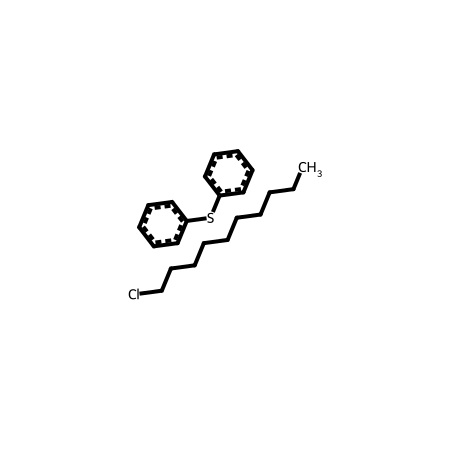 CCCCCCCCCCCl.c1ccc(Sc2ccccc2)cc1